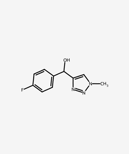 Cn1cc(C(O)c2ccc(F)cc2)nn1